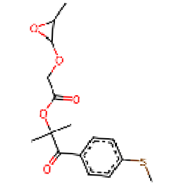 CSc1ccc(C(=O)C(C)(C)OC(=O)COC2OC2C)cc1